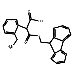 NCc1ccccc1C(C(=O)O)C(=O)OCC1c2ccccc2-c2ccccc21